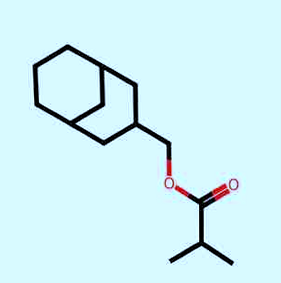 CC(C)C(=O)OCC1CC2CCCC(C2)C1